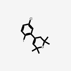 CC1(C)C=C(c2cc(Cl)ccc2I)CC(C)(C)O1